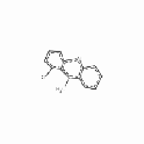 Cc1c2ccccc2nc2cccc(Cl)c12